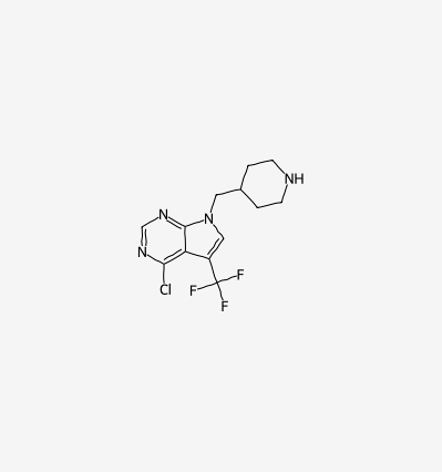 FC(F)(F)c1cn(CC2CCNCC2)c2ncnc(Cl)c12